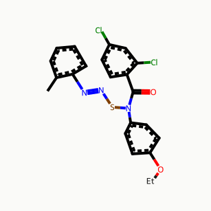 CCOc1ccc(N(SN=Nc2ccccc2C)C(=O)c2ccc(Cl)cc2Cl)cc1